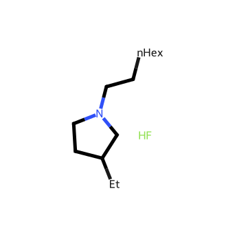 CCCCCCCCN1CCC(CC)C1.F